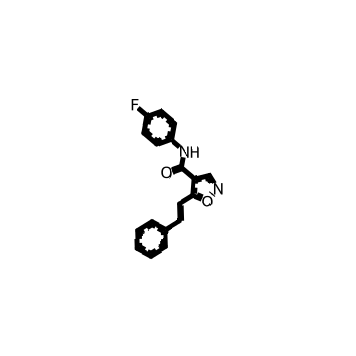 O=C(Nc1ccc(F)cc1)c1cnoc1/C=C/c1ccccc1